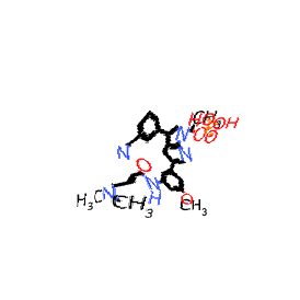 COc1cc(NC(=O)/C=C/CN(C)C)cc(-c2cnc3c(c2)c(-c2cccc(C#N)c2)cn3C(C)OP(=O)(O)O)c1